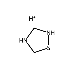 C1NCSN1.[H+]